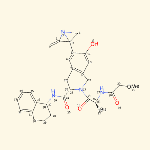 C=C1N2CC12c1cc2c(cc1O)CN(C(=O)[C@@H](NC(=O)COC)C(C)(C)C)[C@H](C(=O)N[C@@H]1CCCc3ccccc31)C2